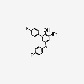 CC(C)c1cc(Sc2ccc(F)cc2)cc(-c2ccc(F)cc2)c1O